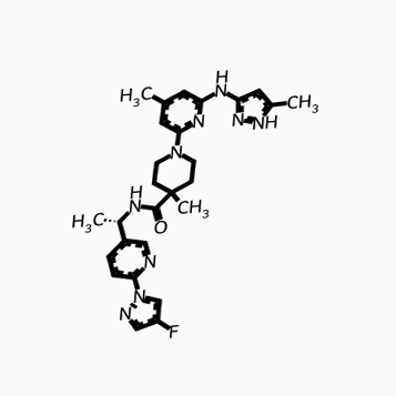 Cc1cc(Nc2cc(C)[nH]n2)nc(N2CCC(C)(C(=O)N[C@@H](C)c3ccc(-n4cc(F)cn4)nc3)CC2)c1